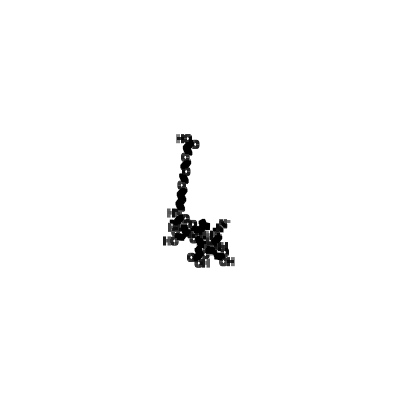 CC(C)C(NC(=O)[C@H](CCC(=O)O)NC(=O)[C@H](CC(=O)O)NC(=O)CN=[N+]=[N-])C(=O)N[C@@H](CC(=O)O)C(=O)N[C@@H](C)C(=O)NCCCCCOCCOCCOCCC(=O)O